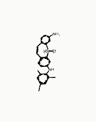 CC[SiH]1c2cc(N)ccc2C=Cc2ccc(Nc3c(C)cc(C)cc3C)cc21